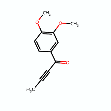 CC#CC(=O)c1ccc(OC)c(OC)c1